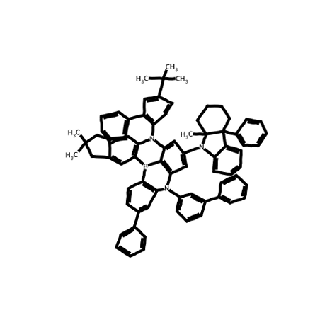 CC1(C)Cc2cc3c(cc2C1)N(c1ccc(C(C)(C)C)cc1-c1ccccc1)c1cc(N2c4ccccc4C4(c5ccccc5)CCCCC24C)cc2c1B3c1ccc(-c3ccccc3)cc1N2c1cccc(-c2ccccc2)c1